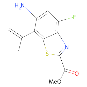 C=C(C)c1c(N)cc(F)c2nc(C(=O)OC)sc12